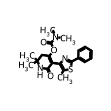 Cc1sc(-c2ccccc2)nc1C1=C(OC(=O)N(C)C)CC(C)(C)NC1=O